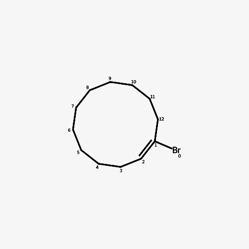 BrC1=CCCCCCCCCCC1